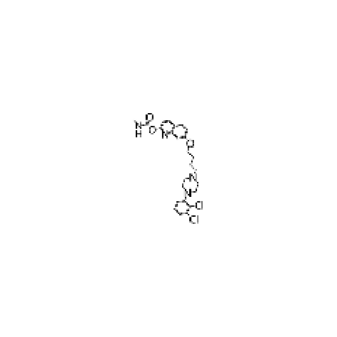 CNC(=O)Oc1ccc2ccc(OCCCCN3CCN(c4cccc(Cl)c4Cl)CC3)cc2n1